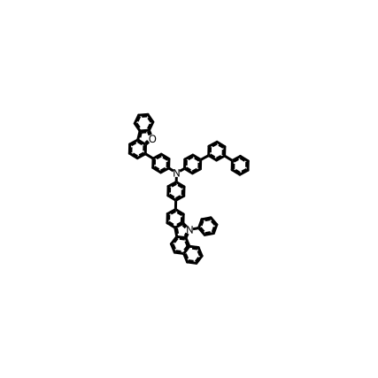 c1ccc(-c2cccc(-c3ccc(N(c4ccc(-c5ccc6c7ccc8ccccc8c7n(-c7ccccc7)c6c5)cc4)c4ccc(-c5cccc6c5oc5ccccc56)cc4)cc3)c2)cc1